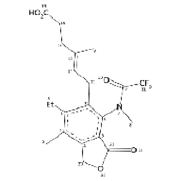 CCc1c(C)c2c(c(N(C)C(=O)C(F)(F)F)c1C/C=C(\C)CCC(=O)O)C(=O)OC2